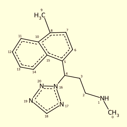 CNCCC(c1ccc(C)c2ccccc12)n1ncnn1